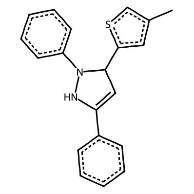 Cc1csc(C2C=C(c3ccccc3)NN2c2ccccc2)c1